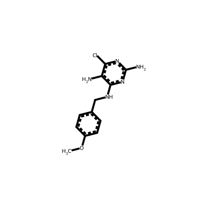 COc1ccc(CNc2nc(N)nc(Cl)c2N)cc1